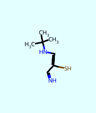 CC(C)(C)N/C=C(/S)C=N